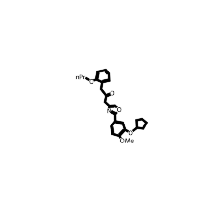 CCCOc1ccccc1CC(=O)Cc1coc(-c2ccc(OC)c(OC3CCCC3)c2)n1